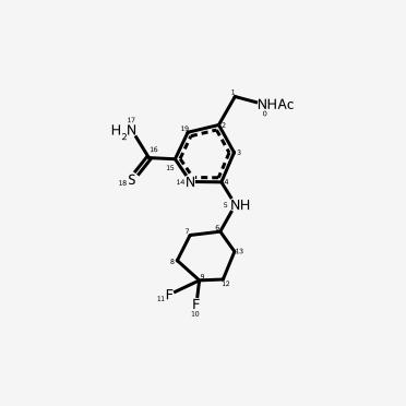 CC(=O)NCc1cc(NC2CCC(F)(F)CC2)nc(C(N)=S)c1